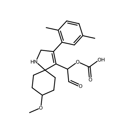 COC1CCC2(CC1)NCC(c1cc(C)ccc1C)=C2C(C=O)OC(=O)O